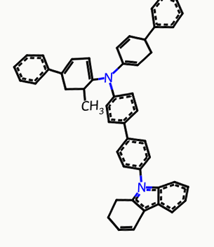 CC1CC(c2ccccc2)=CC=C1N(C1=CCC(c2ccccc2)C=C1)c1ccc(-c2ccc(-n3c4c(c5ccccc53)C=CCC4)cc2)cc1